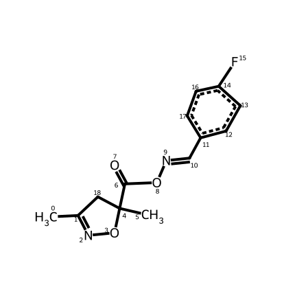 CC1=NOC(C)(C(=O)O/N=C/c2ccc(F)cc2)C1